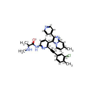 CNC(C)C(=O)Nc1ccc(-c2c(-c3ccncc3)nc3cc(C)ccn23)c(C#Cc2ccc(C)c(Cl)c2)n1